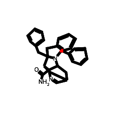 NC(=O)C12N=CC3CC1N(Cc1ccccc1)C(Cc1ccccc1)(Cc1ccccc1)C2C3